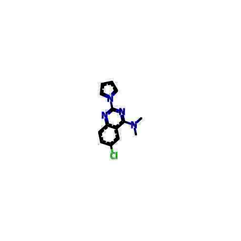 CN(C)c1nc(-n2cccc2)nc2ccc(Cl)cc12